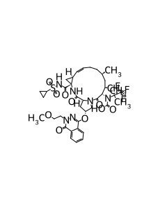 COCCn1nc(O[C@@H]2C[C@H]3C(=O)N[C@]4(C(=O)NS(=O)(=O)C5CC5)C[C@H]4C=CCC[C@@H](C)C[C@@H](C)[C@H](N(C(=O)O)C(C)(C)C(F)(F)F)C(=O)N3C2)c2ccccc2c1=O